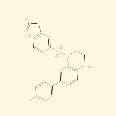 Cc1ccc(-c2ccc3c(c2)N(S(=O)(=O)c2ccc4nc(C)sc4c2)CC[S+]3[O-])cc1